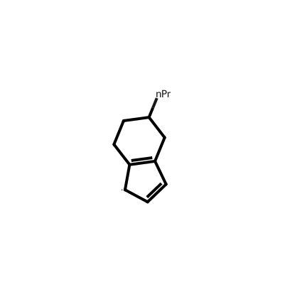 CCCC1CCC2=C(C=C[CH]2)C1